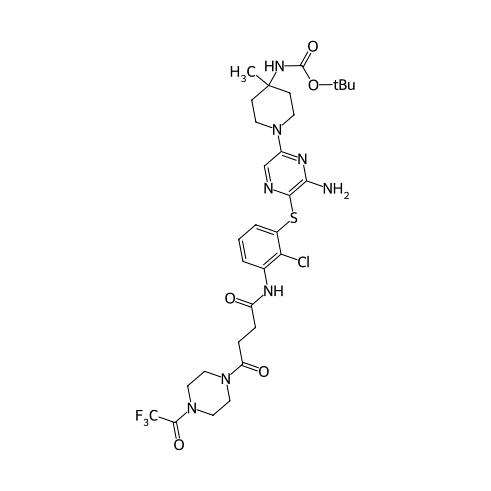 CC1(NC(=O)OC(C)(C)C)CCN(c2cnc(Sc3cccc(NC(=O)CCC(=O)N4CCN(C(=O)C(F)(F)F)CC4)c3Cl)c(N)n2)CC1